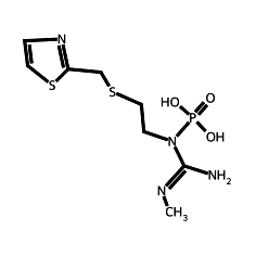 CN=C(N)N(CCSCc1nccs1)P(=O)(O)O